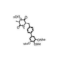 CCCCCCCCN1C(=O)[C@@H](Cc2ccc(-c3cc(OC)c(OC)c(OC)c3)cc2)N(C)C(=O)[C@H]1C